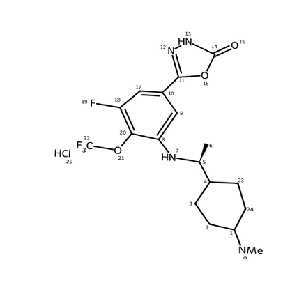 CNC1CCC([C@H](C)Nc2cc(-c3n[nH]c(=O)o3)cc(F)c2OC(F)(F)F)CC1.Cl